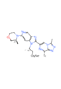 CCc1nc(-c2nc3cnc(N4CCOC[C@@H]4C)cc3n2[C@@H](C)COC)cn2c(C)nnc12